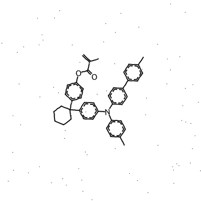 C=C(C)C(=O)Oc1ccc(C2(c3ccc(N(c4ccc(C)cc4)c4ccc(-c5ccc(C)cc5)cc4)cc3)CCCCC2)cc1